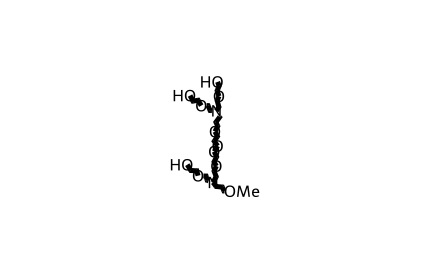 COCCCN(CCOCCO)CCOCCOOCCOCCCN(CCOCCO)CCOCCO